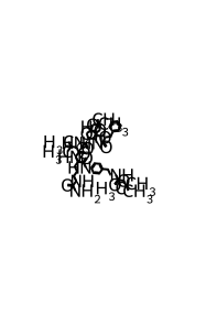 CC(C)[C@@H](NC(=O)[C@H]1O[C@@H]2OC(C)(C)O[C@@H]2[C@@H]1NC(=O)OCc1ccccc1)C(=O)NC(CCCNC(N)=O)C(=O)Nc1ccc(CCNC(=O)OC(C)(C)C)cc1